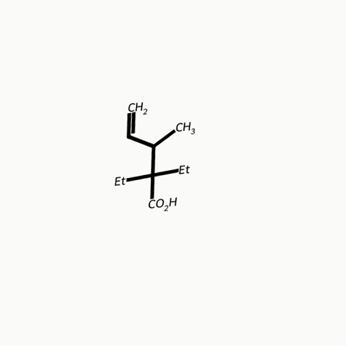 C=CC(C)C(CC)(CC)C(=O)O